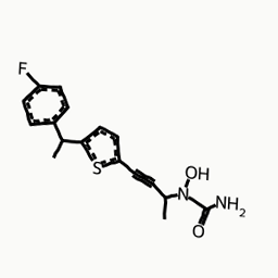 CC(c1ccc(F)cc1)c1ccc(C#CC(C)N(O)C(N)=O)s1